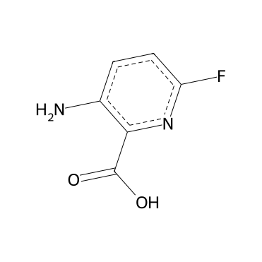 Nc1ccc(F)nc1C(=O)O